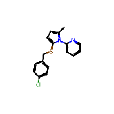 Cc1ccc(SCc2ccc(Cl)cc2)n1-c1ccccn1